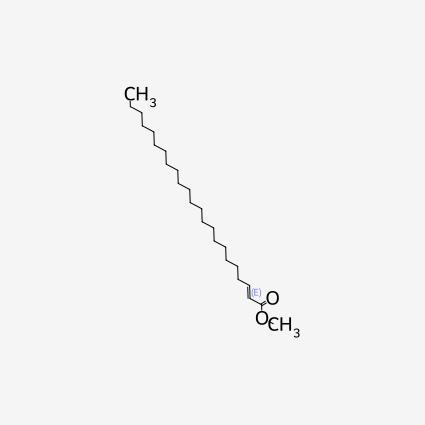 CCCCCCCCCCCCCCCCCCCC/C=C/C(=O)OC